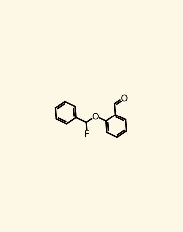 O=Cc1ccccc1OC(F)c1ccccc1